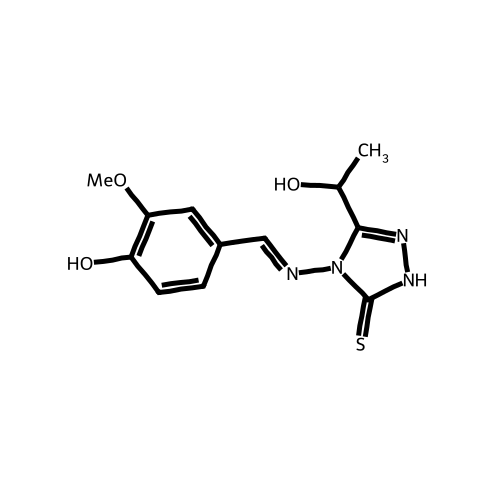 COc1cc(C=Nn2c(C(C)O)n[nH]c2=S)ccc1O